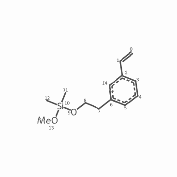 C=Cc1cccc(CCO[Si](C)(C)OC)c1